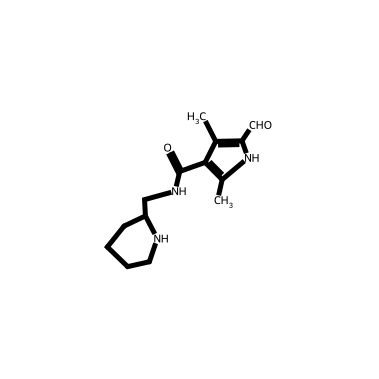 Cc1[nH]c(C=O)c(C)c1C(=O)NCC1CCCCN1